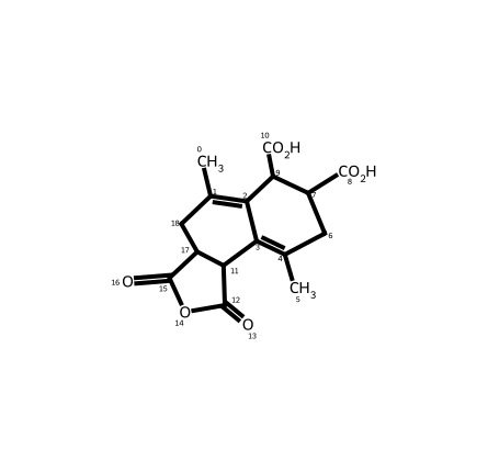 CC1=C2C(=C(C)CC(C(=O)O)C2C(=O)O)C2C(=O)OC(=O)C2C1